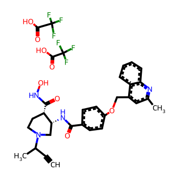 C#CC(C)N1CC[C@H](C(=O)NO)[C@H](NC(=O)c2ccc(OCc3cc(C)nc4ccccc34)cc2)C1.O=C(O)C(F)(F)F.O=C(O)C(F)(F)F